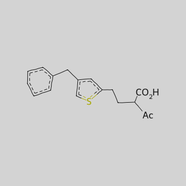 CC(=O)C(CCc1cc(Cc2ccccc2)cs1)C(=O)O